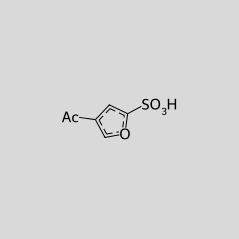 CC(=O)c1coc(S(=O)(=O)O)c1